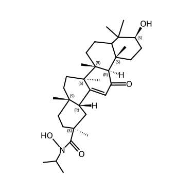 CC(C)N(O)C(=O)[C@@]1(C)CC[C@]2(C)CC[C@]3(C)C(=CC(=O)[C@@H]4[C@@]5(C)CC[C@H](O)C(C)(C)C5CC[C@]43C)[C@@H]2C1